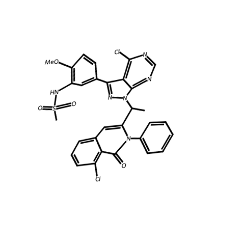 COc1ccc(-c2nn(C(C)c3cc4cccc(Cl)c4c(=O)n3-c3ccccc3)c3ncnc(Cl)c23)cc1NS(C)(=O)=O